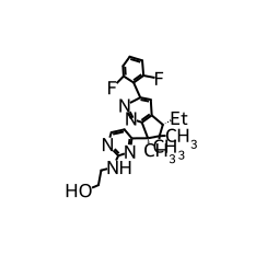 CC[C@H]1c2cc(-c3c(F)cccc3F)nnc2[C@](C)(c2ccnc(NCCO)n2)C1(C)C